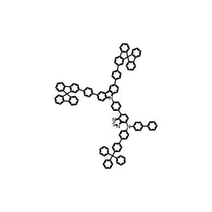 c1ccc(-c2ccc(N(c3ccc(-c4ccc(C(c5ccccc5)(c5ccccc5)c5ccccc5)cc4)cc3)c3ccc(-c4ccc(-n5c6ccc(-c7ccc(-c8ccc9c(c8)C8(c%10ccccc%10-c%10ccccc%108)c8ccccc8-9)cc7)cc6c6cc(-c7ccc(-c8ccc9c(c8)C8(c%10ccccc%10-c%10ccccc%108)c8ccccc8-9)cc7)ccc65)cc4)c4nsnc34)cc2)cc1